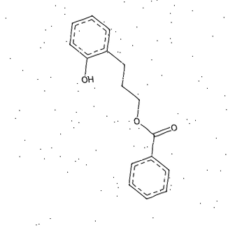 O=C(OCCCc1ccccc1O)c1ccccc1